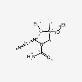 CCO[Si](C)(CN(N=[N+]=[N-])C(N)=O)OCC